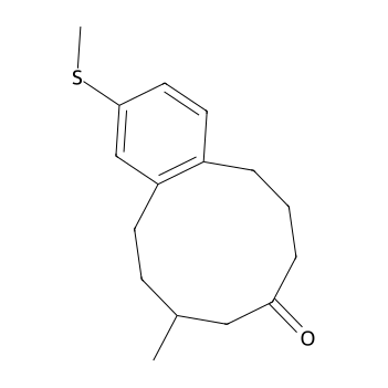 CSc1ccc2c(c1)CCC(C)CC(=O)CCC2